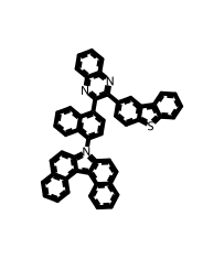 c1ccc2c(c1)ccc1c2c2c3ccccc3ccc2n1-c1ccc(-c2nc3ccccc3nc2-c2ccc3sc4ccccc4c3c2)c2ccccc12